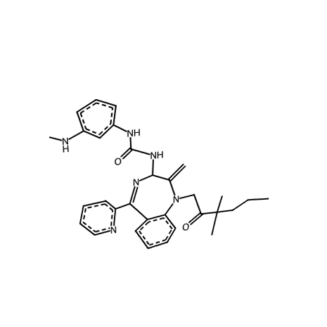 C=C1C(NC(=O)Nc2cccc(NC)c2)N=C(c2ccccn2)c2ccccc2N1CC(=O)C(C)(C)CCC